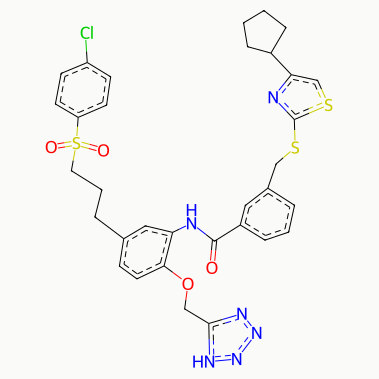 O=C(Nc1cc(CCCS(=O)(=O)c2ccc(Cl)cc2)ccc1OCc1nnn[nH]1)c1cccc(CSc2nc(C3CCCC3)cs2)c1